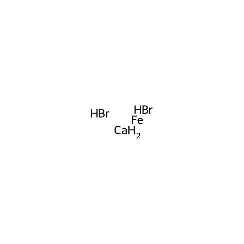 Br.Br.[CaH2].[Fe]